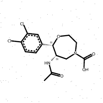 CC(=O)N[C@H]1CN(C(=O)O)CCO[C@H]1c1ccc(Cl)c(Cl)c1